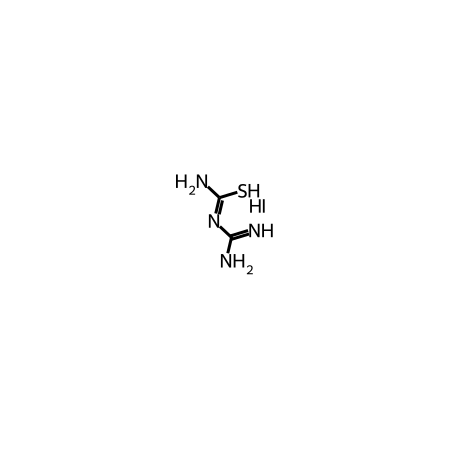 I.N=C(N)N=C(N)S